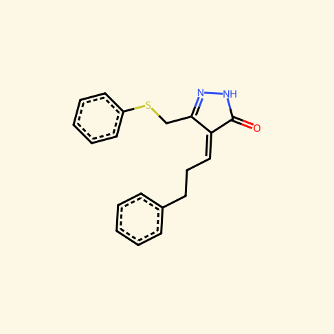 O=C1NN=C(CSc2ccccc2)/C1=C\CCc1ccccc1